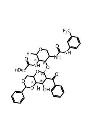 CCCCCCCCCCC(=O)N[C@H]1C(CC)OCC(NC(=O)Nc2cccc(C(F)(F)F)c2)[C@H]1O[C@H]1OC2COC(c3ccccc3)O[C@@H]2[C@H](O)C1C(=O)c1ccccc1